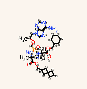 C[C@H](Cn1cnc2c(N)ncnc21)OCP(=O)(NC(C)(C)C(=O)OCC1CCCCC1)NC(C)(C)C(=O)OCC1CC2(CCC2)C1